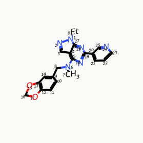 CCn1ncc2c(N(C)Cc3ccc4c(c3)OCO4)nc(-c3cccnc3)nc21